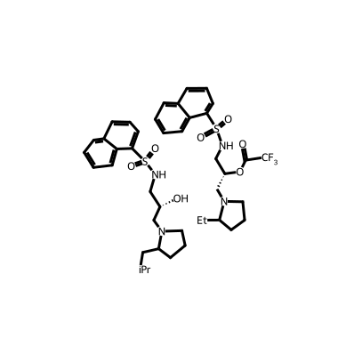 CC(C)CC1CCCN1C[C@@H](O)CNS(=O)(=O)c1cccc2ccccc12.CCC1CCCN1C[C@H](CNS(=O)(=O)c1cccc2ccccc12)OC(=O)C(F)(F)F